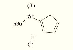 CCC[CH2][Zr+2]([CH2]CCC)[C]1=CC=CC1.[Cl-].[Cl-]